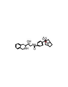 COC1CC2CCC(C1)N2C(=O)c1ccc(C(=O)NC[C@@H](O)[C@@H]2Cc3ccccc3CN2)cc1